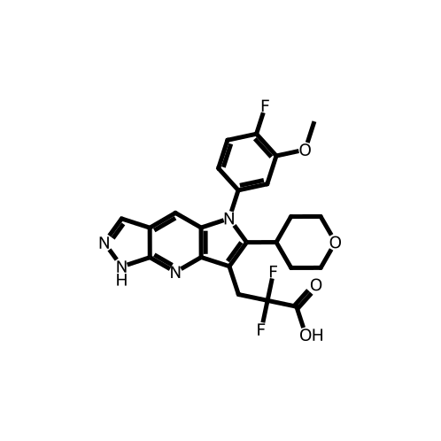 COc1cc(-n2c(C3CCOCC3)c(CC(F)(F)C(=O)O)c3nc4[nH]ncc4cc32)ccc1F